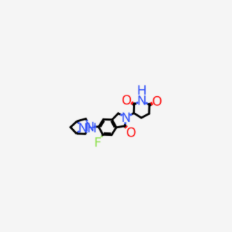 O=C1CCC(N2Cc3cc(N4CC5CC(C4)N5)c(F)cc3C2=O)C(=O)N1